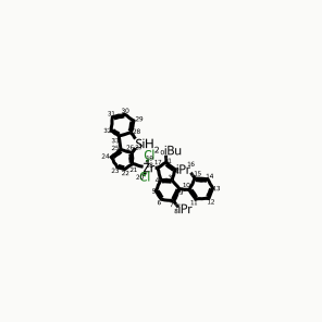 CCC(C)C1=Cc2c(ccc(C(C)C)c2-c2ccccc2C(C)C)[CH]1[Zr]([Cl])([Cl])[c]1cccc2c1[SiH2]c1ccccc1-2